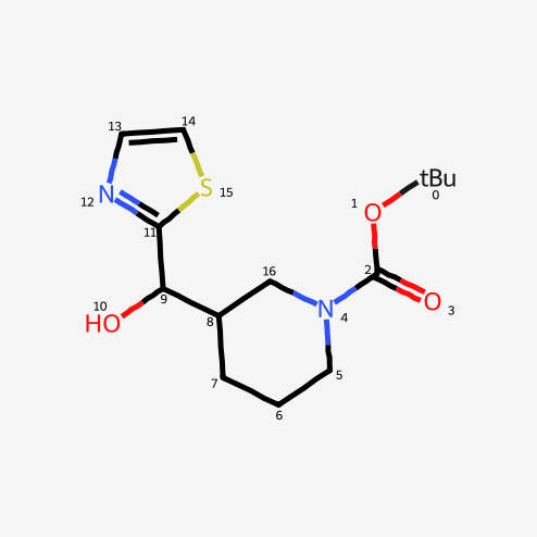 CC(C)(C)OC(=O)N1CCCC(C(O)c2nccs2)C1